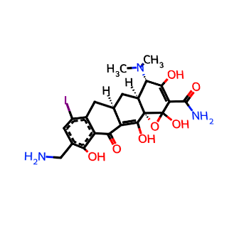 CN(C)[C@@H]1C(O)=C(C(N)=O)C2(O)O[C@@]23C(O)=C2C(=O)c4c(O)c(CN)cc(I)c4C[C@H]2C[C@@H]13